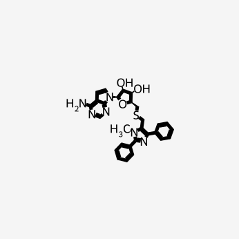 Cn1c(-c2ccccc2)nc(-c2ccccc2)c1CSC[C@H]1O[C@@H](n2ccc3c(N)ncnc32)[C@H](O)[C@@H]1O